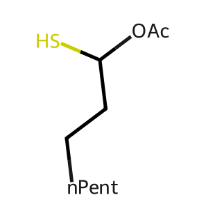 CCCCCCCC(S)OC(C)=O